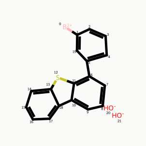 [B+2]c1cccc(-c2cccc3c2sc2ccccc23)c1.[OH-].[OH-]